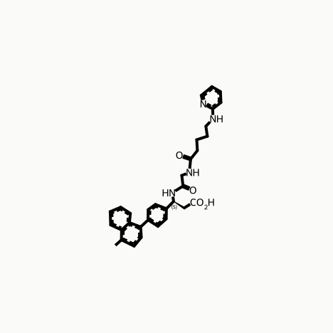 Cc1ccc(-c2ccc([C@H](CC(=O)O)NC(=O)CNC(=O)CCCCNc3ccccn3)cc2)c2ccccc12